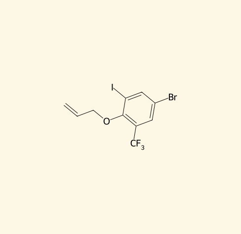 C=CCOc1c(I)cc(Br)cc1C(F)(F)F